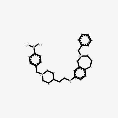 CN(C)c1ccc(CN2CCC(CCOc3ccc4c(c3)CN(Cc3ccccc3)CCC4)CC2)cc1